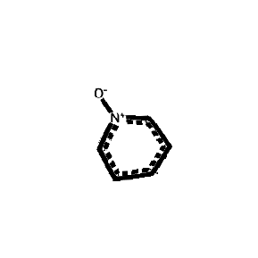 [O-][n+]1cc[c]cc1